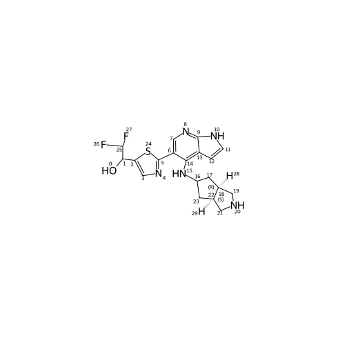 OC(c1cnc(-c2cnc3[nH]ccc3c2NC2C[C@H]3CNC[C@H]3C2)s1)C(F)F